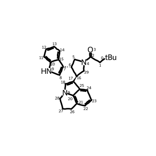 CC(C)(C)CC(=O)N1C[C@@H](c2c[nH]c3ccccc23)[C@H](c2cn3c4c(cccc24)CCC3)C1